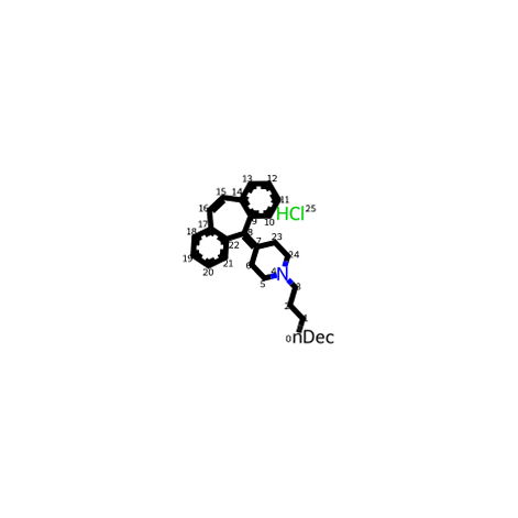 CCCCCCCCCCCCCN1CCC(=C2c3ccccc3C=Cc3ccccc32)CC1.Cl